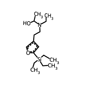 CCN(CCc1coc([Si](CC)(CC)CC)c1)C(C)O